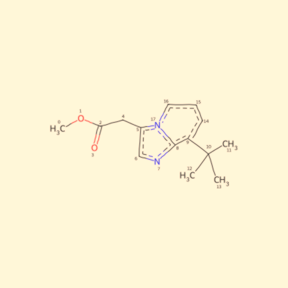 COC(=O)Cc1cnc2c(C(C)(C)C)cccn12